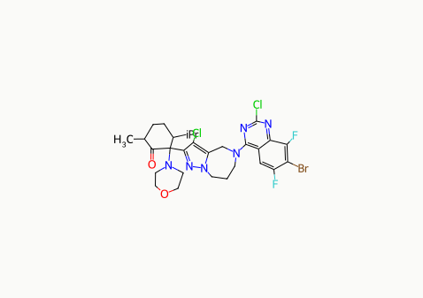 CC1CCC(C(C)C)C(c2nn3c(c2Cl)CN(c2nc(Cl)nc4c(F)c(Br)c(F)cc24)CCC3)(N2CCOCC2)C1=O